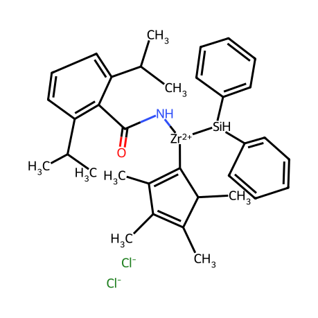 CC1=C(C)C(C)[C]([Zr+2]([NH]C(=O)c2c(C(C)C)cccc2C(C)C)[SiH](c2ccccc2)c2ccccc2)=C1C.[Cl-].[Cl-]